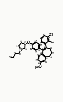 Cc1c(Cl)cccc1C1=C(c2ccc(O[C@H]3CCN(CCCF)C3)cc2)c2ccc(OF)cc2CCC1